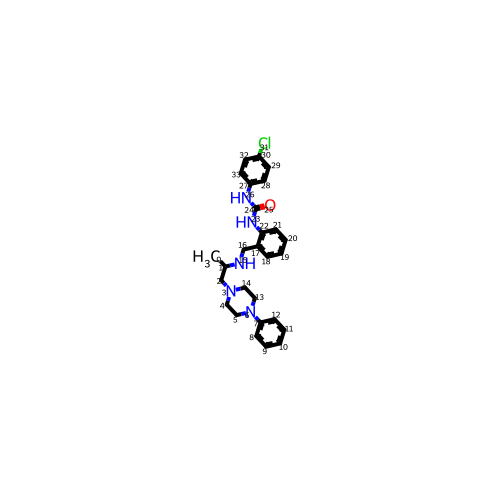 CC(CN1CCN(c2ccccc2)CC1)NCc1ccccc1NC(=O)Nc1ccc(Cl)cc1